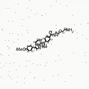 COc1ccc(-c2cnc3c(Nc4ccc(C(=O)NCCOCCN)cc4)nccn23)cc1.Cl